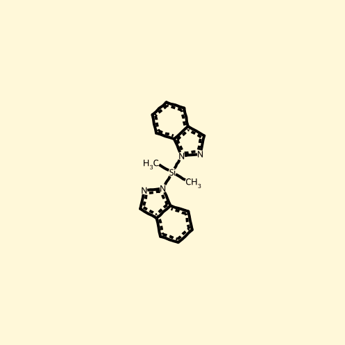 C[Si](C)(n1ncc2ccccc21)n1ncc2ccccc21